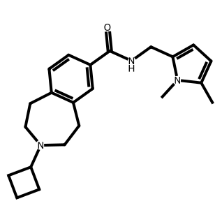 Cc1ccc(CNC(=O)c2ccc3c(c2)CCN(C2CCC2)CC3)n1C